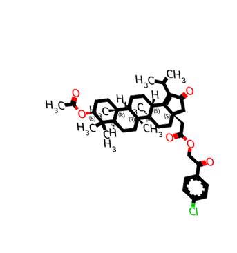 CC(=O)O[C@H]1CC[C@]2(C)[C@H]3CC[C@@H]4C5=C(C(C)C)C(=O)C[C@]5(CC(=O)OCC(=O)c5ccc(Cl)cc5)CC[C@@]4(C)[C@]3(C)CC[C@H]2C1(C)C